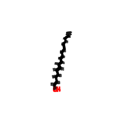 CCC=CCC=CCC=CCCCCCCCCO